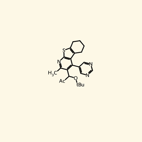 CC(=O)C(OC(C)(C)C)c1c(C)nc2sc3c(c2c1-c1cncnc1)CCCC3